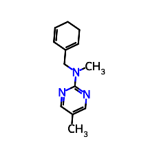 Cc1cnc(N(C)CC2=CCCC=C2)nc1